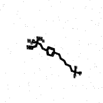 CC(N)(CO)CCc1ccc(CCCCCCC(F)(F)F)cc1